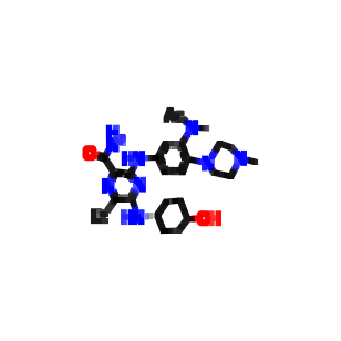 CCc1nc(C(N)=O)c(Nc2ccc(N3CCN(C)CC3)c(N(C)C(C)=O)c2)nc1N[C@H]1CC[C@H](O)CC1